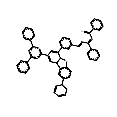 N=C(/N=C(\N=C\c1cccc(C2=CC(c3nc(-c4ccccc4)nc(-c4ccccc4)n3)=CC3c4cc(C5C=CC=CC5)ccc4OC23)c1)c1ccccc1)c1ccccc1